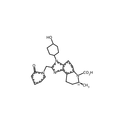 C[C@H]1CCc2c(ccc3c2nc(Cn2ccccc2=O)n3C2CCC(O)CC2)N1C(=O)O